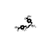 CN(CCN(C)Cc1ccc(C(=O)C(C)(C)C)cc1)Cc1ccc(C(=O)C(C)(C)C)cc1